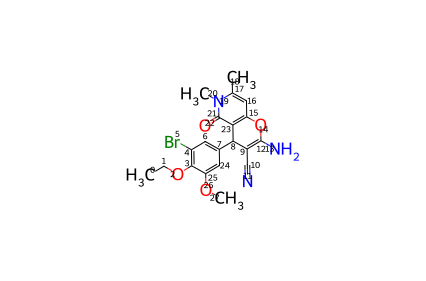 CCOc1c(Br)cc(C2C(C#N)=C(N)Oc3cc(C)n(C)c(=O)c32)cc1OC